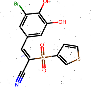 N#C/C(=C/c1cc(O)c(O)c(Br)c1)S(=O)(=O)c1ccsc1